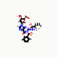 CC(C)C(=O)Nc1nc2c(ncn2[C@H]2C[C@H](O)[C@@H](CO)O2)c(=O)n1C(=O)c1ccccc1